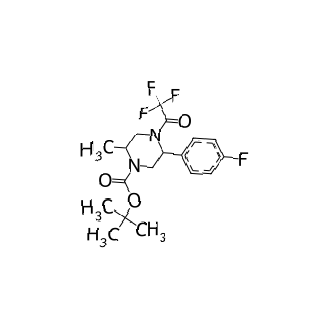 CC1CN(C(=O)C(F)(F)F)C(c2ccc(F)cc2)CN1C(=O)OC(C)(C)C